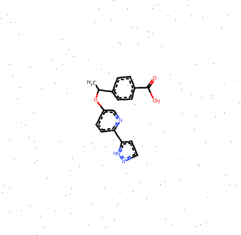 CC(Oc1ccc(-c2ccn[nH]2)nc1)c1ccc(C(=O)O)cc1